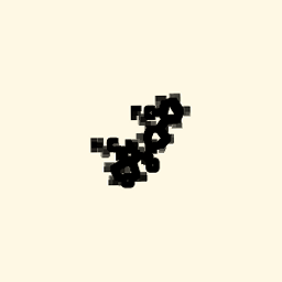 Cn1nc(C(=O)N2CCC(c3ccccc3C(F)(F)F)CC2)c2c1CCOC2